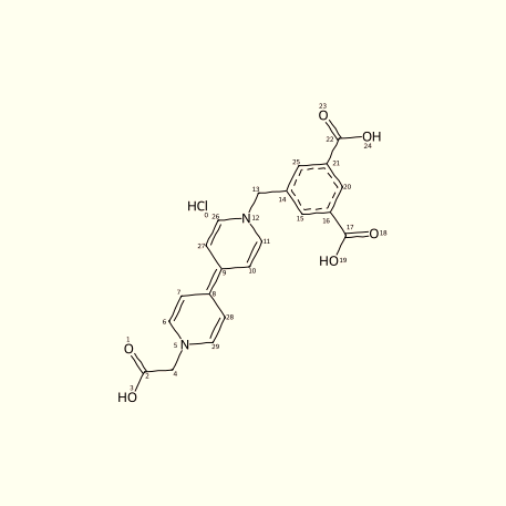 Cl.O=C(O)CN1C=CC(=C2C=CN(Cc3cc(C(=O)O)cc(C(=O)O)c3)C=C2)C=C1